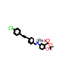 CCCCCCN(Cc1ccc(C#Cc2ccc(Cl)cc2)cc1)c1ccc2c(c1)C(=O)OC(C)(C)O2